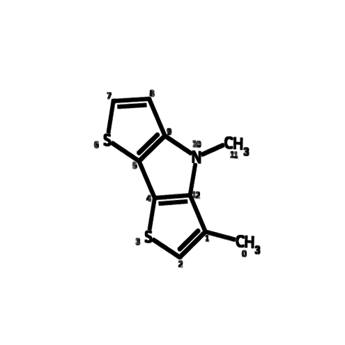 Cc1csc2c3sccc3n(C)c12